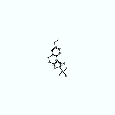 CCc1ccc2c(c1)CCc1nc(C(C)(C)C)[nH]c1-2